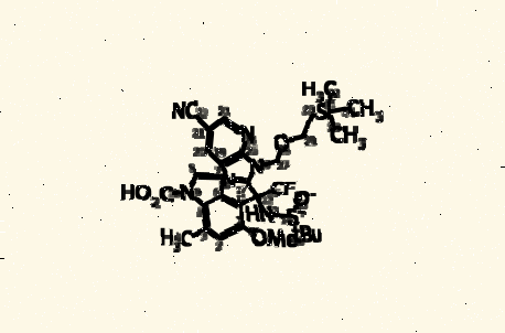 COc1cc(C)c2c(ccn2C(=O)O)c1C(N[S+]([O-])C(C)(C)C)(c1nc2cc(C#N)cnc2n1COCC[Si](C)(C)C)C(F)(F)F